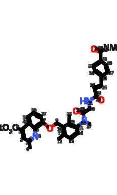 CCOC(=O)c1cc(C)nc2c(OCc3c(C)ccc(N(C)C(=O)CNC(=O)C=Cc4ccc(C(=O)NC)cc4)c3C)cccc12